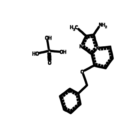 Cc1nc2c(OCc3ccccc3)cccn2c1N.O=P(O)(O)O